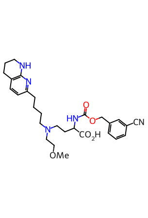 COCCN(CCCCc1ccc2c(n1)NCCC2)CCC(NC(=O)OCc1cccc(C#N)c1)C(=O)O